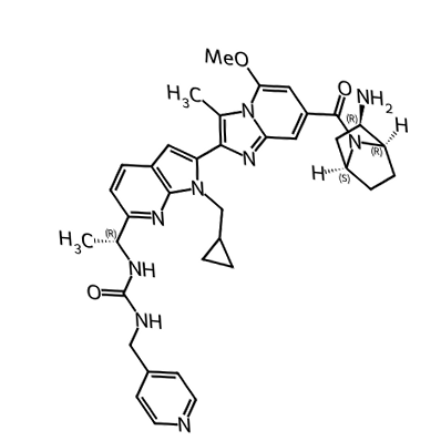 COc1cc(C(=O)N2[C@H]3CC[C@@H]2[C@H](N)C3)cc2nc(-c3cc4ccc([C@@H](C)NC(=O)NCc5ccncc5)nc4n3CC3CC3)c(C)n12